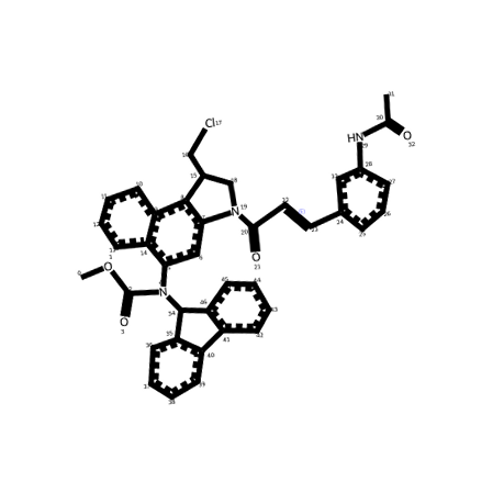 COC(=O)N(c1cc2c(c3ccccc13)C(CCl)CN2C(=O)/C=C/c1cccc(NC(C)=O)c1)C1c2ccccc2-c2ccccc21